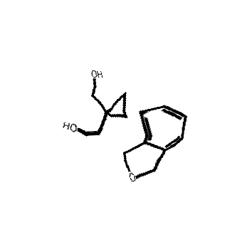 OCC1(CO)CC1.c1ccc2c(c1)COC2